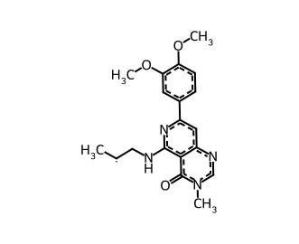 C[CH]CNc1nc(-c2ccc(OC)c(OC)c2)cc2ncn(C)c(=O)c12